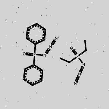 CCP(=O)(CC)N=[N+]=[N-].[N-]=[N+]=NP(=O)(c1ccccc1)c1ccccc1